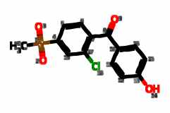 CS(=O)(=O)c1ccc(C(=O)c2ccc(O)cc2)c(Cl)c1